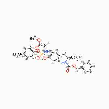 CC(C)OC(=O)C(C)NP(=O)(Oc1ccc(CC(NC(=O)OCc2ccccc2)C(=O)O)cc1)Oc1ccc([N+](=O)[O-])cc1